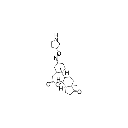 C[C@]12CC/C(=N\O[C@@H]3CCNC3)CC1CC(=O)O[C@@H]1[C@@H]2CC[C@]2(C)C(=O)CC[C@@H]12